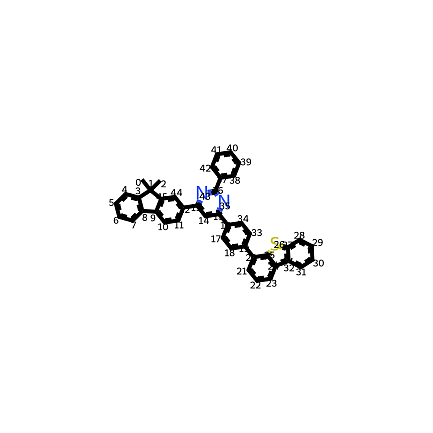 CC1(C)c2ccccc2-c2ccc(-c3cc(-c4ccc(-c5cccc6c5sc5ccccc56)cc4)nc(-c4ccccc4)n3)cc21